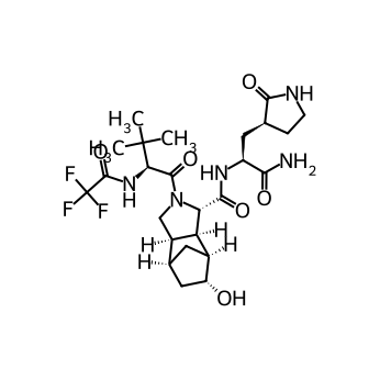 CC(C)(C)[C@H](NC(=O)C(F)(F)F)C(=O)N1C[C@@H]2[C@H]3C[C@@H]([C@@H]2[C@H]1C(=O)N[C@@H](C[C@@H]1CCNC1=O)C(N)=O)[C@H](O)C3